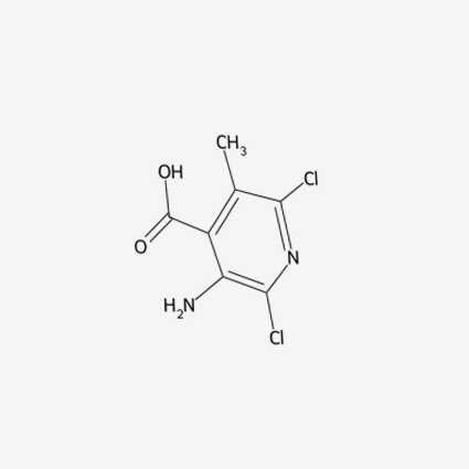 Cc1c(Cl)nc(Cl)c(N)c1C(=O)O